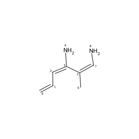 C=C/C=C(N)\C(C)=C/N